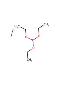 CCOP(OCC)OCC.[Cu][I]